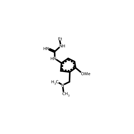 CCNC(=N)Nc1ccc(OC)c(CN(C)C)c1